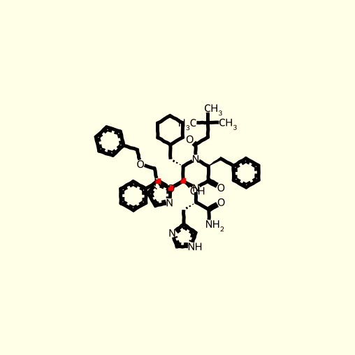 CC(C)(C)CC(=O)N([C@@H](Cc1ccccc1)C(=O)N(COCc1ccccc1)[C@@H](Cc1c[nH]cn1)C(N)=O)[C@@H](CC1CCCCC1)[C@@H](O)c1nccn1COCc1ccccc1